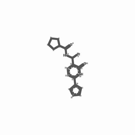 CCC(NC(=O)C1CCCC1)c1nnc(-c2ccsc2)[nH]c1=O